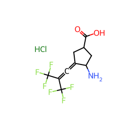 Cl.NC1CC(C(=O)O)CC1=C=C(C(F)(F)F)C(F)(F)F